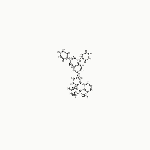 CC1(C)c2ccccc2-c2cc(-c3ccc4c(-c5ccccc5)nc(-c5ccccc5)nc4c3)ccc2C1(C)C